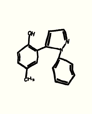 Cc1ccc(O)c(-c2ccnn2-c2ccccc2)c1